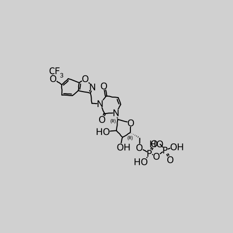 O=c1ccn([C@@H]2O[C@H](COP(=O)(O)OP(=O)(O)O)C(O)C2O)c(=O)n1Cc1noc2cc(OC(F)(F)F)ccc12